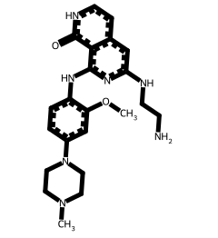 COc1cc(N2CCN(C)CC2)ccc1Nc1nc(NCCN)cc2cc[nH]c(=O)c12